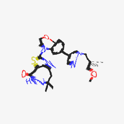 COC[C@@H](C)Cn1cc(-c2ccc3c(c2)N(c2nc4c(s2)C(=O)NC(C)(C)C4)CCO3)cn1